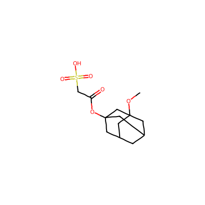 COC12CC3CC(C1)CC(OC(=O)CS(=O)(=O)O)(C3)C2